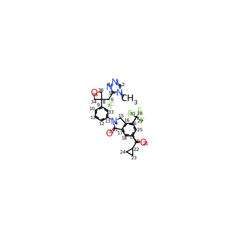 Cn1cnnc1[C@H](F)C1(c2cccc(N3Cc4c(cc(C(=O)C5CC5)cc4C(F)(F)F)C3=O)c2)COC1